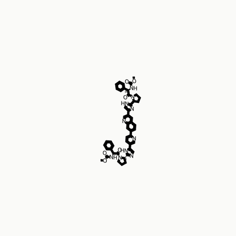 COC(=O)N[C@@H](C(=O)N1CCCC1c1nc(-c2cnc3cc(-c4ccc(-c5cnc([C@@H]6CCCN6C(=O)[C@H](NC(=O)OC)c6ccccc6)[nH]5)cn4)ccc3c2)c[nH]1)c1ccccc1